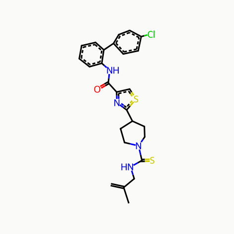 C=C(C)CNC(=S)N1CCC(c2nc(C(=O)Nc3ccccc3-c3ccc(Cl)cc3)cs2)CC1